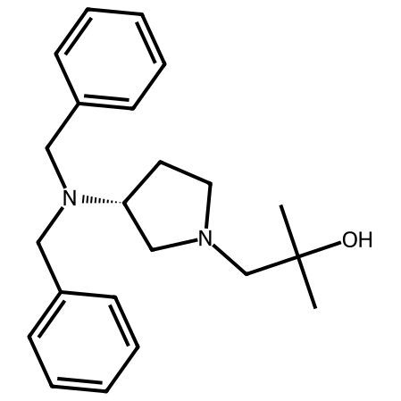 CC(C)(O)CN1CC[C@@H](N(Cc2ccccc2)Cc2ccccc2)C1